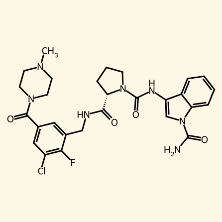 CN1CCN(C(=O)c2cc(Cl)c(F)c(CNC(=O)[C@@H]3CCCN3C(=O)Nc3cn(C(N)=O)c4ccccc34)c2)CC1